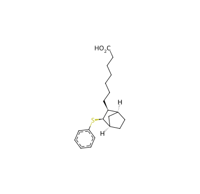 O=C(O)CCCCCC[C@H]1[C@H]2CC[C@H](C2)[C@H]1Sc1ccccc1